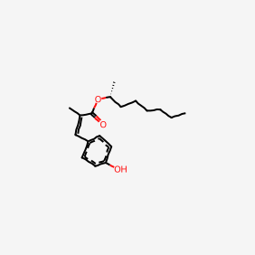 CCCCCC[C@@H](C)OC(=O)C(C)=Cc1ccc(O)cc1